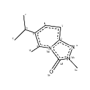 Cc1c(C(C)C)ccc2nn(C)c(=O)n12